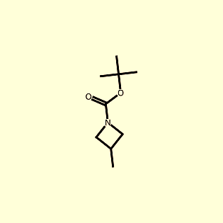 CC1CN(C(=O)OC(C)(C)C)C1